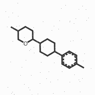 Cc1ccc(C2CCC(C3CCC(C)CO3)CC2)cc1